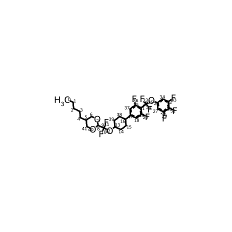 CCCCCC1COC(C(F)(F)OC2CCC(c3cc(F)c(C(F)(F)Oc4cc(F)c(F)c(F)c4)c(F)c3)CC2)OC1